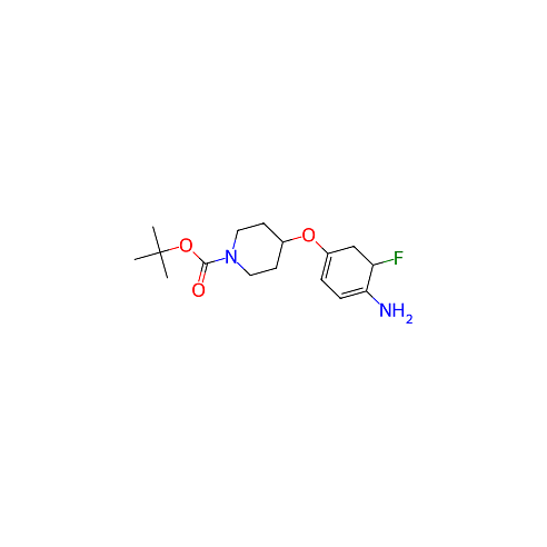 CC(C)(C)OC(=O)N1CCC(OC2=CC=C(N)C(F)C2)CC1